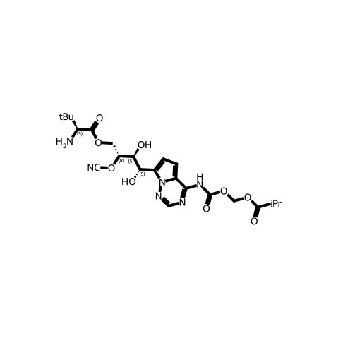 CC(C)C(=O)OCOC(=O)Nc1ncnn2c([C@H](O)[C@H](O)[C@@H](COC(=O)[C@@H](N)C(C)(C)C)OC#N)ccc12